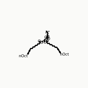 CCCCCCCCC#CC#CCCCCCCCCC(=O)OC[C@H](COP(=O)([O-])OCC[N+](C)(C)C)OC(=O)CCCCCCCCC#CC#CCCCCCCCC